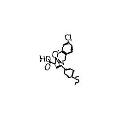 CSc1ccc(-c2cc(C(=O)O)nn2Cc2ccc(Cl)cc2Cl)cc1